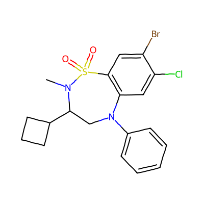 CN1C(C2CCC2)CN(c2ccccc2)c2cc(Cl)c(Br)cc2S1(=O)=O